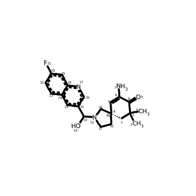 CC1(C)C[C@]2(C=C(N)C1=O)CCN(C(O)c1cnc3cc(F)ccc3c1)C2